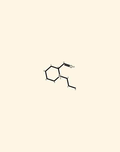 CCCN1CCCCC1C=O